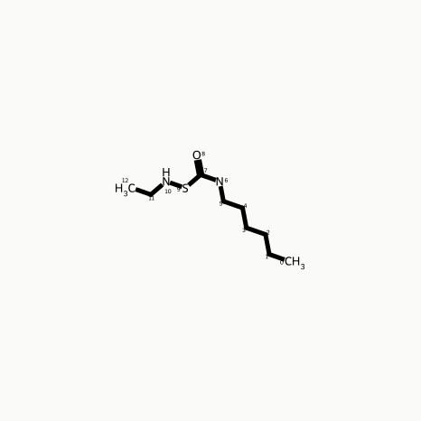 CCCCCC[N]C(=O)SNCC